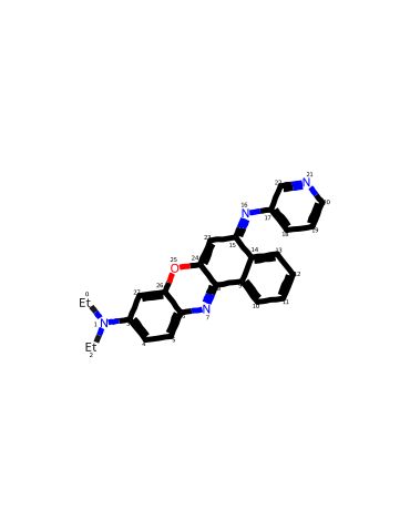 CCN(CC)c1ccc2nc3c4ccccc4/c(=N\c4cccnc4)cc-3oc2c1